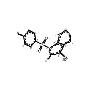 Cc1ccc(S(=O)(=O)n2c(I)c(Br)c3cccnc32)cc1